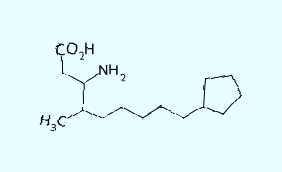 CC(CCCCCC1CCCC1)C(N)CC(=O)O